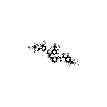 CC(C)(C)OC(=O)N1C[C@@H](CCC(Nc2cccc(SNC(=O)c3cnc(C(C)(C)C)nc3Cl)n2)c2cc(C(C)(C)C)ccn2)CC1(C)C